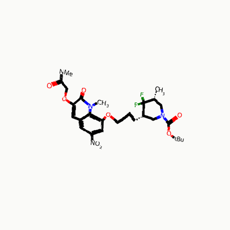 CNC(=O)COc1cc2cc([N+](=O)[O-])cc(OCCC[C@H]3CN(C(=O)OC(C)(C)C)C[C@@H](C)C3(F)F)c2n(C)c1=O